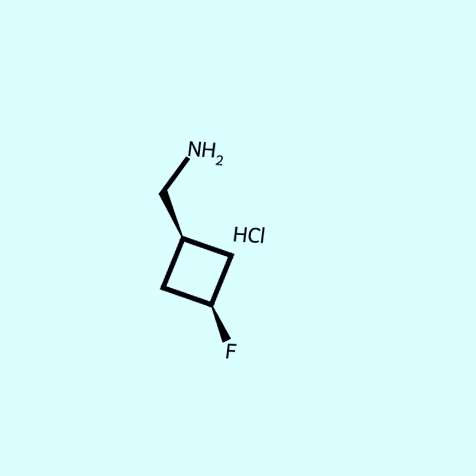 Cl.NC[C@H]1C[C@@H](F)C1